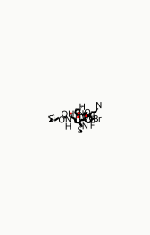 CSc1nc2c(F)c(Br)c(CCC#N)cc2c2c1cc(C(C)NC(=O)OCC[Si](C)(C)C)n2[C@H]1[C@@H]2C[C@H]1N(C(=O)O)C2